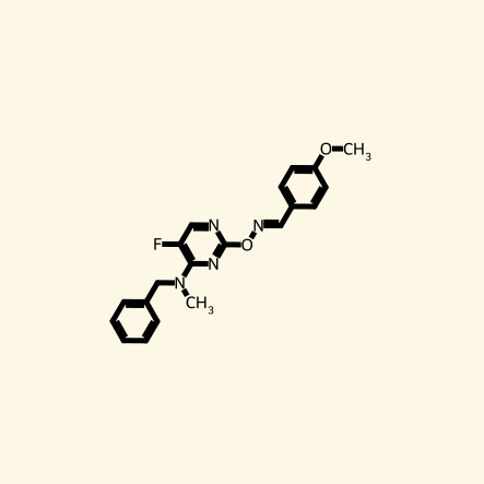 COc1ccc(C=NOc2ncc(F)c(N(C)Cc3ccccc3)n2)cc1